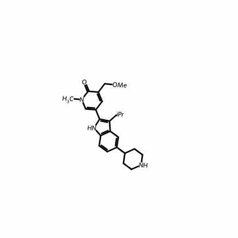 COCc1cc(-c2[nH]c3ccc(C4CCNCC4)cc3c2C(C)C)cn(C)c1=O